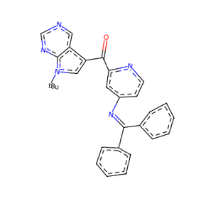 CC(C)(C)n1cc(C(=O)c2cc(N=C(c3ccccc3)c3ccccc3)ccn2)c2cncnc21